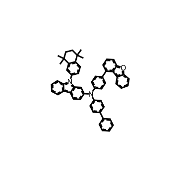 CC1(C)CCC(C)(C)c2cc(-n3c4ccccc4c4ccc(N(c5ccc(-c6ccccc6)cc5)c5ccc(-c6cccc7oc8ccccc8c67)cc5)cc43)ccc21